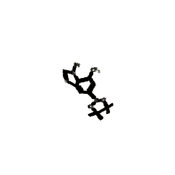 CC(C)n1cnc2cc(B3OC(C)(C)C(C)(C)O3)cc(C(F)(F)F)c21